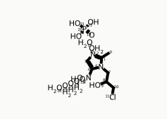 Cc1ncc([N+](=O)[O-])n1CC(O)CCl.O.O.O.O.O.O.O.O=P(O)(O)O